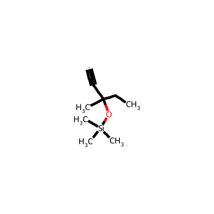 [C]#CC(C)(CC)O[Si](C)(C)C